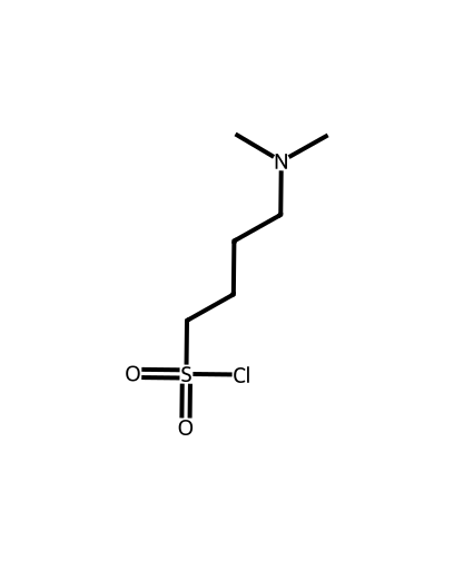 CN(C)CCCCS(=O)(=O)Cl